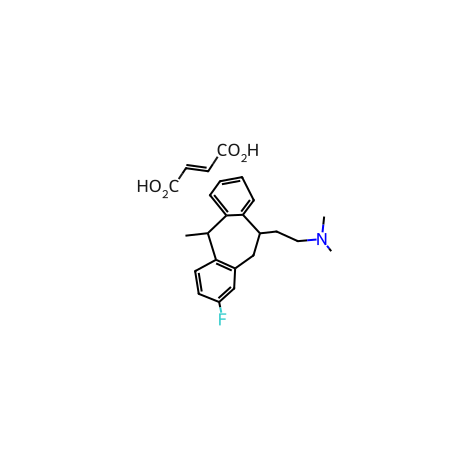 CC1c2ccc(F)cc2CC(CCN(C)C)c2ccccc21.O=C(O)C=CC(=O)O